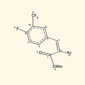 COC(=O)/C(=C\c1ccc(F)c(C(F)(F)F)c1)C(C)=O